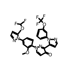 COc1cc(-n2nccc2OC(F)F)ccc1-n1ccc(=O)c(-c2ccnn2-c2cccc(OC(F)(F)F)c2)n1